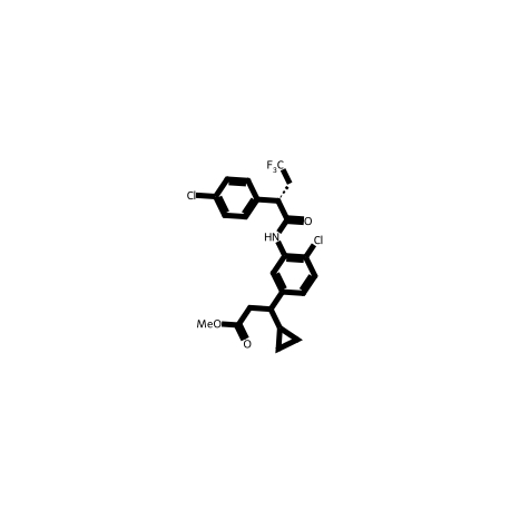 COC(=O)CC(c1ccc(Cl)c(NC(=O)[C@@H](CC(F)(F)F)c2ccc(Cl)cc2)c1)C1CC1